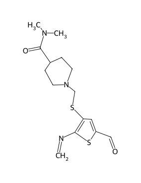 C=Nc1sc(C=O)cc1SCN1CCC(C(=O)N(C)C)CC1